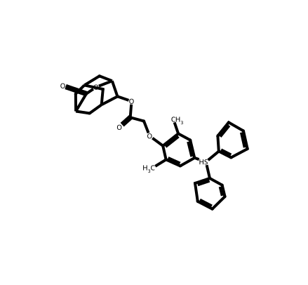 Cc1cc([SH](c2ccccc2)c2ccccc2)cc(C)c1OCC(=O)OC1C2CC3CC(C2)C(=O)OC1C3